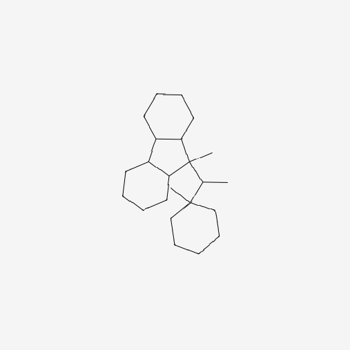 CC(C1(C)CCCCC1)C1(C)C2CCCCC2C2CCCCC21